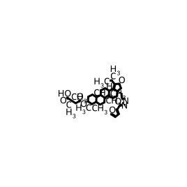 CC(C)C1=C2[C@H]3CCC4[C@@]5(C)CC[C@H](OC(=O)CC(C)(C)C(=O)O)C(C)(C)C5CC[C@@]4(C)[C@]3(C)CC[C@@]2(Cc2nnc(-c3ccco3)o2)CC1=O